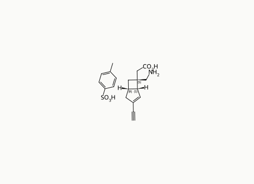 C#CC1=C[C@@H]2[C@H](C1)C[C@]2(CN)CC(=O)O.Cc1ccc(S(=O)(=O)O)cc1